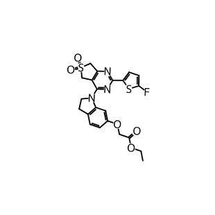 CCOC(=O)COc1ccc2c(c1)N(c1nc(-c3ccc(F)s3)nc3c1CS(=O)(=O)C3)CC2